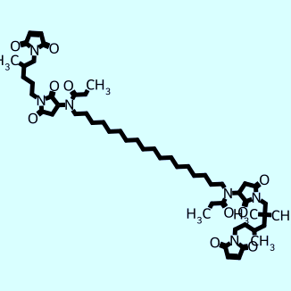 CCC(=O)N(CCCCCCCCCCCCCCCCCCN(C(=O)CC)C1CC(=O)N(CC(C)(C)CC(C)CCN2C(=O)C=CC2=O)C1=O)C1CC(=O)N(CCCC(C)CN2C(=O)C=CC2=O)C1=O